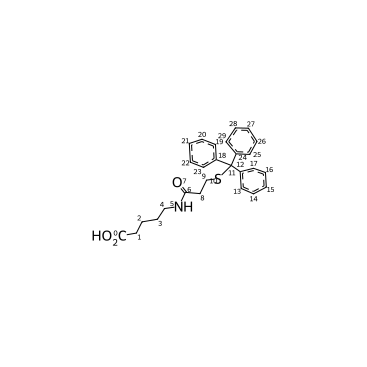 O=C(O)CCCCNC(=O)CCSC(c1ccccc1)(c1ccccc1)c1ccccc1